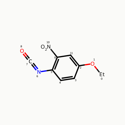 CCOc1ccc(N=C=O)c([N+](=O)[O-])c1